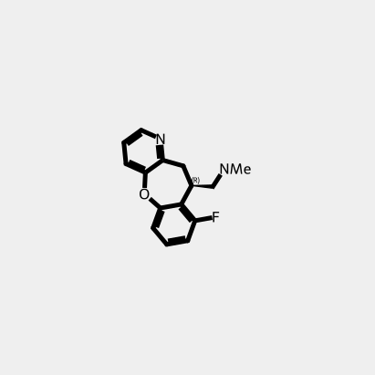 CNC[C@@H]1Cc2ncccc2Oc2cccc(F)c21